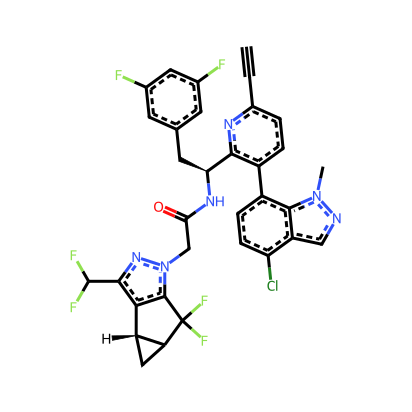 C#Cc1ccc(-c2ccc(Cl)c3cnn(C)c23)c([C@H](Cc2cc(F)cc(F)c2)NC(=O)Cn2nc(C(F)F)c3c2C(F)(F)C2C[C@H]32)n1